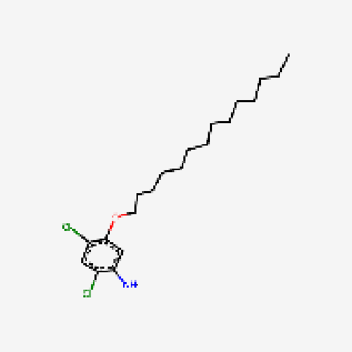 CCCCCCCCCCCCCCOc1cc([NH])c(Cl)cc1Cl